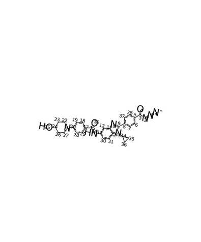 [N-]=[N+]=NC(=O)c1ccc(-c2nc3cc(NC(=O)c4ccc(N5CCC(O)CC5)cc4)ccc3n2C2CC2)cc1